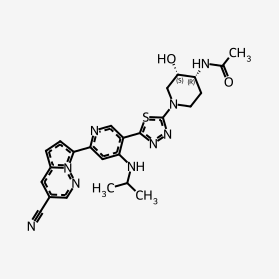 CC(=O)N[C@@H]1CCN(c2nnc(-c3cnc(-c4ccc5cc(C#N)cnn45)cc3NC(C)C)s2)C[C@@H]1O